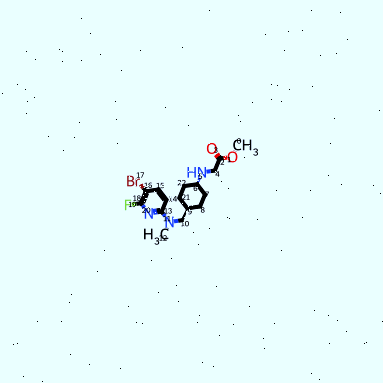 COC(=O)CN[C@H]1CC[C@@H](CN(C)c2ccc(Br)c(F)n2)CC1